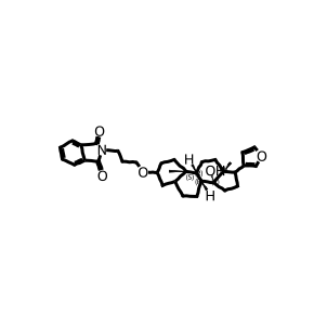 C[C@]12CCC(OCCCN3C(=O)c4ccccc4C3=O)CC1CC[C@@H]1[C@H]2CC[C@]2(C)C(c3ccoc3)CC[C@@]12O